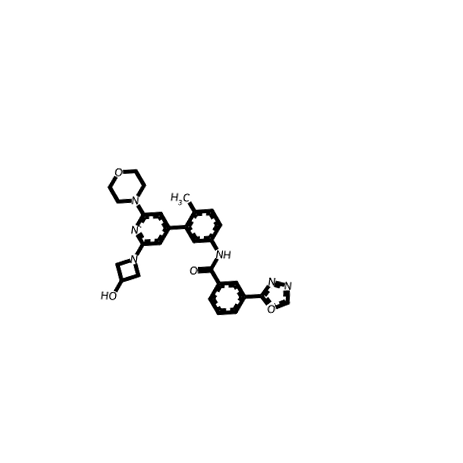 Cc1ccc(NC(=O)c2cccc(-c3nnco3)c2)cc1-c1cc(N2CCOCC2)nc(N2CC(O)C2)c1